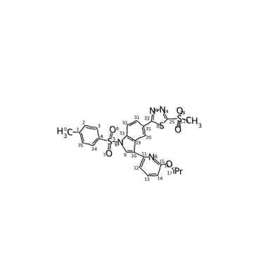 Cc1ccc(S(=O)(=O)n2cc(-c3cccc(OC(C)C)n3)c3cc(-c4nnc(S(C)(=O)=O)s4)ccc32)cc1